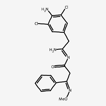 CO/N=C(/CC(=O)/N=C(\N)Cc1cc(Cl)c(N)c(Cl)c1)c1ccccc1